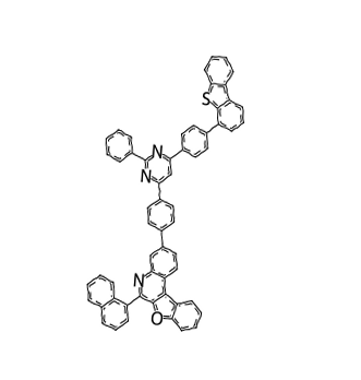 c1ccc(-c2nc(-c3ccc(-c4ccc5c(c4)nc(-c4cccc6ccccc46)c4oc6ccccc6c45)cc3)cc(-c3ccc(-c4cccc5c4sc4ccccc45)cc3)n2)cc1